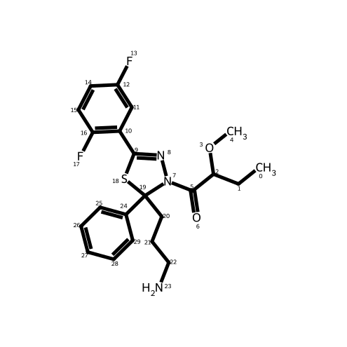 CCC(OC)C(=O)N1N=C(c2cc(F)ccc2F)SC1(CCCN)c1ccccc1